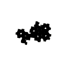 CC(NC(=O)Nc1cc2c(cn1)c(Br)nn2C(c1ccccc1)(c1ccccc1)c1ccccc1)c1ccccc1